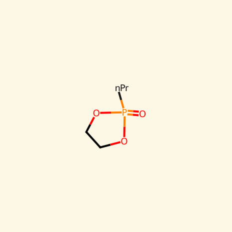 CCCP1(=O)OCCO1